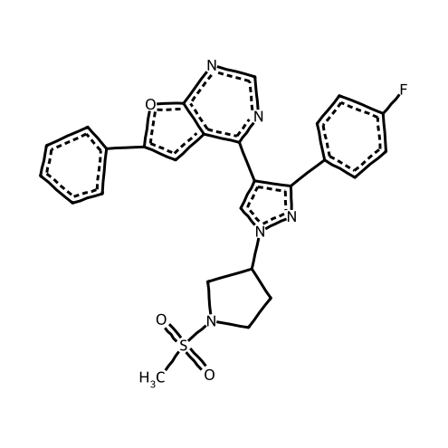 CS(=O)(=O)N1CCC(n2cc(-c3ncnc4oc(-c5ccccc5)cc34)c(-c3ccc(F)cc3)n2)C1